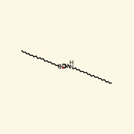 CCCCCCCCCCCCCCCCCCCCCCNCCN1CCN(CCCCCCCCCCCCCCCCCCCCCC)CC1